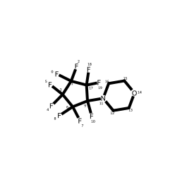 FC1(F)C(F)(F)C(F)(F)C(F)(N2CCOCC2)C1(F)F